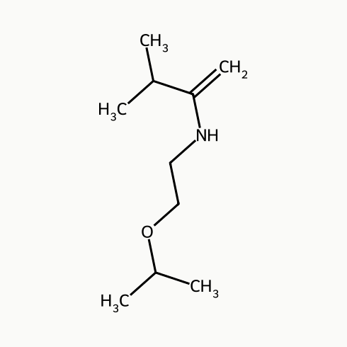 C=C(NCCOC(C)C)C(C)C